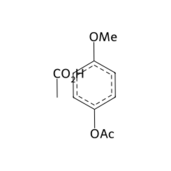 CC(=O)O.COc1ccc(OC(C)=O)cc1